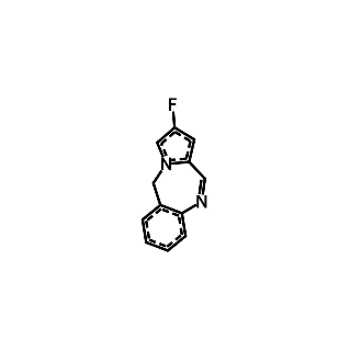 Fc1cc2n(c1)Cc1ccccc1N=C2